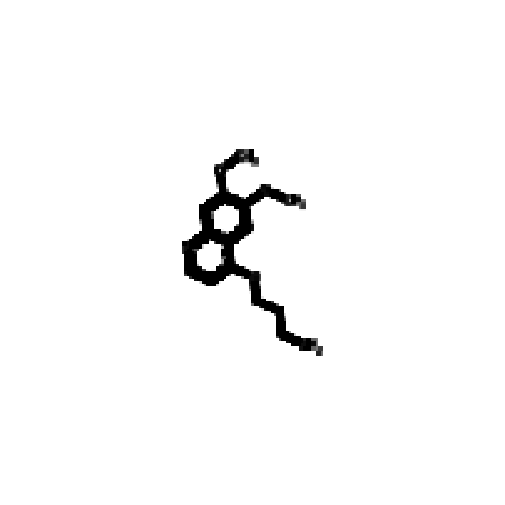 COc1cc2nccc(OCCCN)c2cc1OC